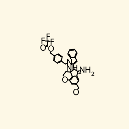 NC1c2cc(C=O)cc3c2C(N)(CCO3)C1c1cc2ccccc2n1Cc1ccc(COC(=O)C(F)(F)F)cc1